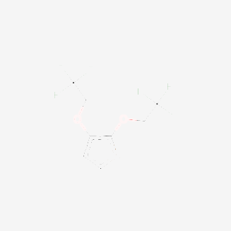 FC(F)(F)COc1ccsc1OCC(F)(F)F